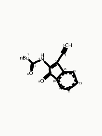 C#CC1=C(NC(=O)CCCC)C(=O)c2ccccc21